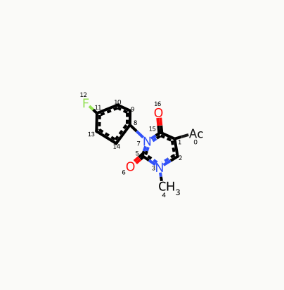 CC(=O)c1cn(C)c(=O)n(-c2ccc(F)cc2)c1=O